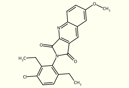 CCc1ccc(Cl)c(CC)c1N1C(=O)c2cc3cc(OC)ccc3nc2C1=O